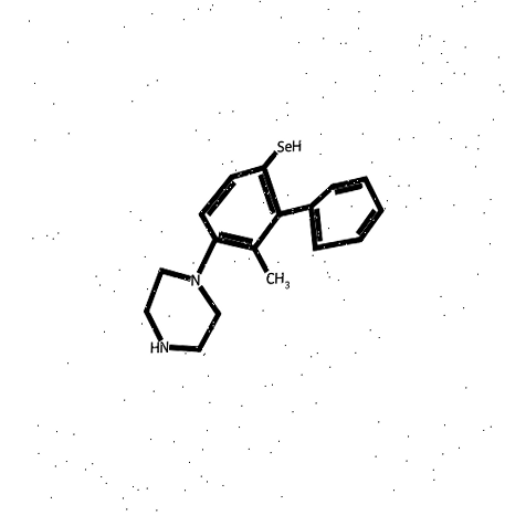 Cc1c(N2CCNCC2)ccc([SeH])c1-c1ccccc1